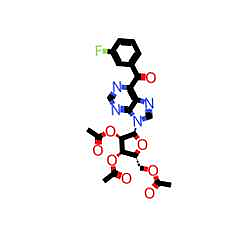 CC(=O)OC[C@H]1O[C@@H](n2cnc3c(C(=O)c4cccc(F)c4)ncnc32)[C@H](OC(C)=O)[C@@H]1OC(C)=O